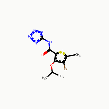 Cc1sc(C(=O)Nc2nnn[nH]2)c(OC(C)C)c1Br